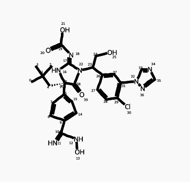 CC(C)(C)C[C@]1(c2ccc(C(=N)NO)cc2)NC(=NC(=O)O)N(C(CO)c2ccc(Cl)c(-n3cncn3)c2)C1=O